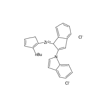 CCCCC1=[C]([Zr+2][CH]2C(n3ccc4ccccc43)=Cc3ccccc32)CC=C1.[Cl-].[Cl-]